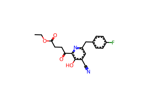 CCOC(=O)CCC(=O)c1nc(Cc2ccc(F)cc2)cc(C#N)c1O